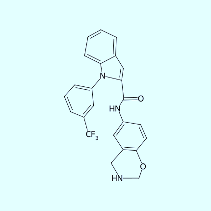 O=C(Nc1ccc2c(c1)CNCO2)c1cc2ccccc2n1-c1cccc(C(F)(F)F)c1